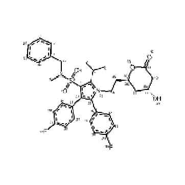 CC(C)c1c(S(=O)(=O)N(C)Cc2ccccc2)c(-c2ccc(F)cc2)c(-c2ccc(F)cc2)n1CC[C@@H]1C[C@@H](O)CC(=O)O1